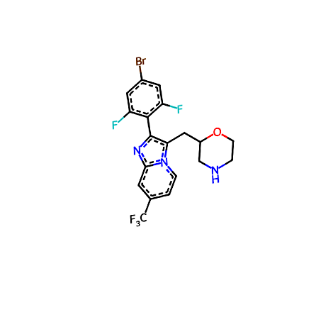 Fc1cc(Br)cc(F)c1-c1nc2cc(C(F)(F)F)ccn2c1CC1CNCCO1